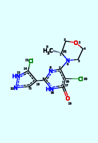 C[C@@H]1COCCN1c1nc(-c2cn[nH]c2Cl)[nH]c(=O)c1Cl